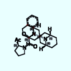 CC(=O)[C@@H]1CCCN1C(=O)C(=O)N(c1ccccc1)[C@H]1C[C@H]2CCC[C@@H](C1)N2[C@H]1C[C@@H]2CCC[C@@H](C2)C1